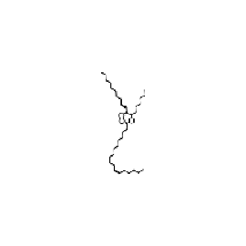 CCCCC/C=C\C/C=C\CCCCCCCC(=O)OC(CCCCCC)C(=O)C=CCCCCCCCC